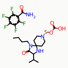 CCCCN1C(=O)C(C(C)C)NC12CCN(SOC(=O)O)CC2.NC(=O)c1c(F)c(F)c(F)c(F)c1F